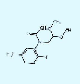 COC(CN(C(C)=O)C1=C(F)[CH]CC(C)=C1)OC